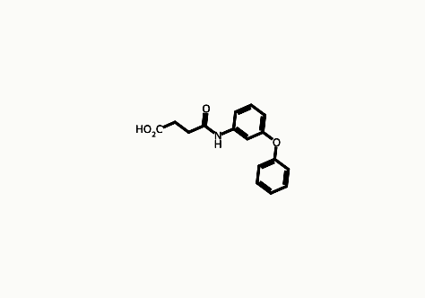 O=C(O)CCC(=O)Nc1cccc(Oc2ccccc2)c1